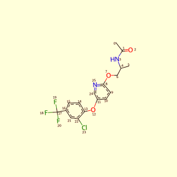 CC(=O)NC(C)COc1ccc(Oc2ccc(C(F)(F)F)cc2Cl)cn1